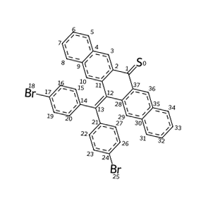 S=C1c2cc3ccccc3cc2C(=C(c2ccc(Br)cc2)c2ccc(Br)cc2)c2cc3ccccc3cc21